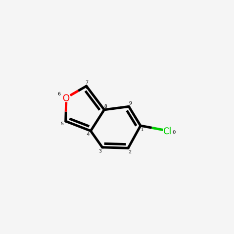 Clc1ccc2co[c]c2c1